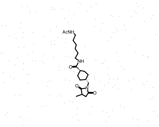 CC(=O)NCCCCCCNC(=O)[C@H]1CC[C@H](CN2C(=O)CC(C)C2=O)CC1